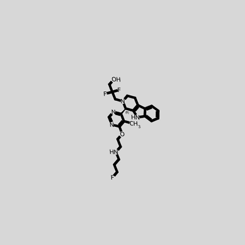 Cc1c(OCCNCCCF)ncnc1[C@@H]1c2[nH]c3ccccc3c2CCN1CC(F)(F)CO